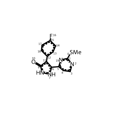 CSc1nccc(-c2[nH][nH]c(=O)c2-c2ccc(F)cc2)n1